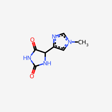 Cn1cnc(C2NC(=O)NC2=O)c1